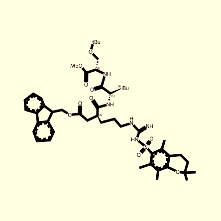 CC[C@H](C)[C@H](NC(=O)[C@@H](CCCNC(=N)NS(=O)(=O)c1c(C)c(C)c2c(c1C)CCC(C)(C)O2)CC(=O)OCC1c2ccccc2-c2ccccc21)C(=O)N[C@@H](COC(C)(C)C)C(=O)OC